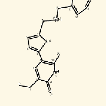 CCc1cc(-c2ccc(CNCc3cccnc3)s2)c(C)[nH]c1=O